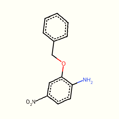 Nc1ccc([N+](=O)[O-])cc1OCc1ccccc1